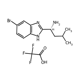 CC(C)C[C@@H](N)c1nc2cc(Br)ccc2[nH]1.O=C(O)C(F)(F)F